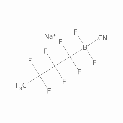 N#C[B-](F)(F)C(F)(F)C(F)(F)C(F)(F)C(F)(F)F.[Na+]